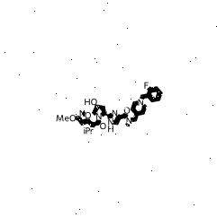 COc1cc(C(C(=O)N2C[C@H](O)C[C@H]2c2nc(C(=O)N(C)CC3CCN(Cc4ccccc4F)CC3)c[nH]2)C(C)C)on1